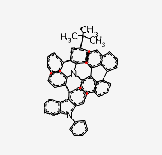 CC(C)(C)c1ccc(N(c2ccccc2-c2cccc3cccc(-c4ccccc4)c23)c2ccccc2-c2cccc3c2c2ccccc2n3-c2ccccc2)c(-c2ccccc2)c1